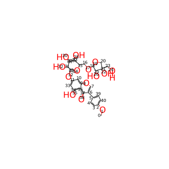 COc1ccc(-c2coc3cc(O[C@@H]4OC(COC5OCC(O)(CO)C5O)[C@@H](O)[C@H](O)C4O)cc(O)c3c2=O)cc1